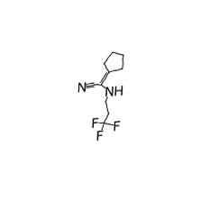 N#CC(NCCC(F)(F)F)=C1CCCC1